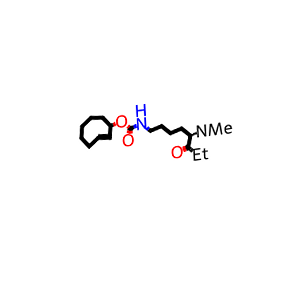 CCC(=O)[C@@H](CCCCNC(=O)OC1/C=C/CCCCC1)NC